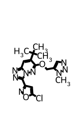 Cn1nncc1COc1nn2c(-c3cc(Cl)on3)nnc2cc1C(C)(C)C